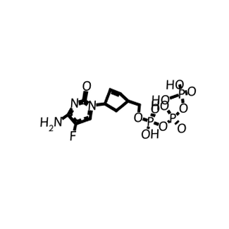 Nc1nc(=O)n(C2C=CC(COP(=O)(O)OP(=O)(O)OP(=O)(O)O)C2)cc1F